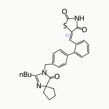 CCCCC1=NC2(CCCC2)C(=O)N1Cc1ccc(-c2ccccc2/C=C2/SC(=O)NC2=O)cc1